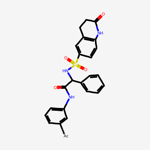 CC(=O)c1cccc(NC(=O)C(NS(=O)(=O)c2ccc3c(c2)CCC(=O)N3)c2ccccc2)c1